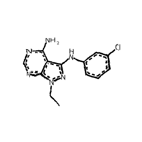 CCn1nc(Nc2cccc(Cl)c2)c2c(N)ncnc21